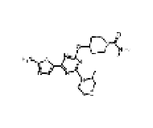 CC1COCCN1c1nc(OC2CCN(C(=O)N(C)C)CC2)nc(-c2cnc(N)s2)n1